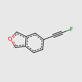 FC#Cc1ccc2[c]occ2c1